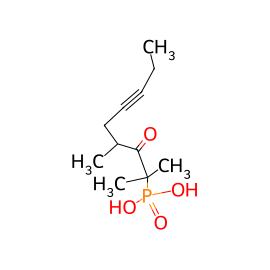 CCC#CCC(C)C(=O)C(C)(C)P(=O)(O)O